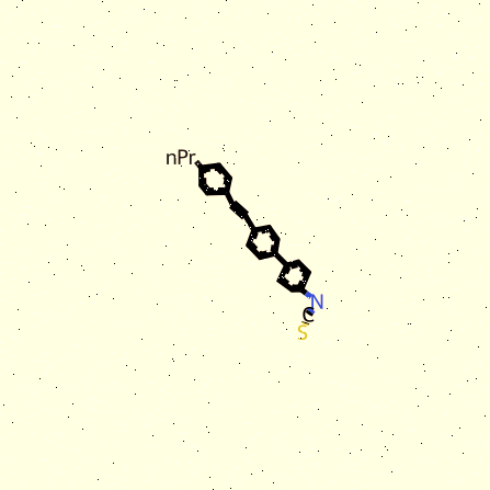 CCCc1ccc(C#Cc2ccc(-c3ccc(N=C=S)cc3)cc2)cc1